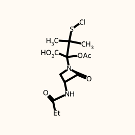 CCC(=O)NC1CN(C(OC(C)=O)(C(=O)O)C(C)(C)SCl)C1=O